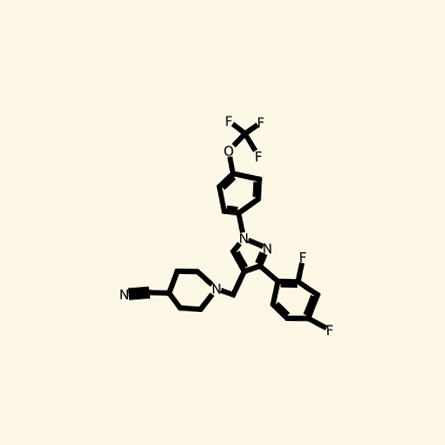 N#CC1CCN(Cc2cn(-c3ccc(OC(F)(F)F)cc3)nc2-c2ccc(F)cc2F)CC1